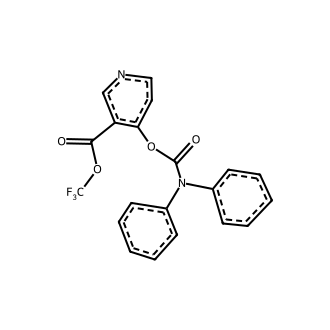 O=C(OC(F)(F)F)c1cnccc1OC(=O)N(c1ccccc1)c1ccccc1